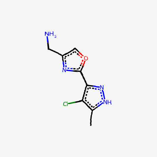 Cc1[nH]nc(-c2nc(CN)co2)c1Cl